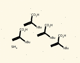 C=C(CCCC)C(=O)O.C=C(CCCC)C(=O)O.C=C(CCCC)C(=O)O.C=C(CCCC)C(=O)O.[SiH4]